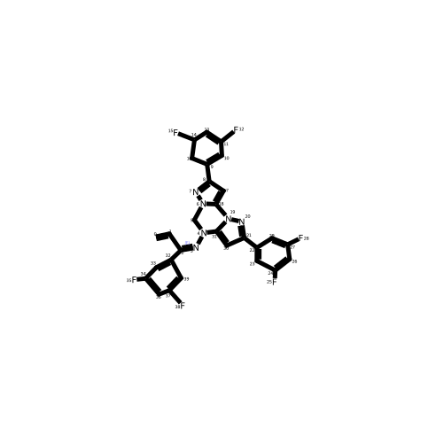 C=C/C(=N\N1Cn2nc(C3=CC(F)=CC(F)C3)cc2-n2nc(-c3cc(F)cc(F)c3)cc21)c1cc(F)cc(F)c1